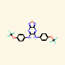 FC(F)(F)Oc1ccc(Nc2nc3nonc3nc2Nc2ccc(OC(F)(F)F)cc2)cc1